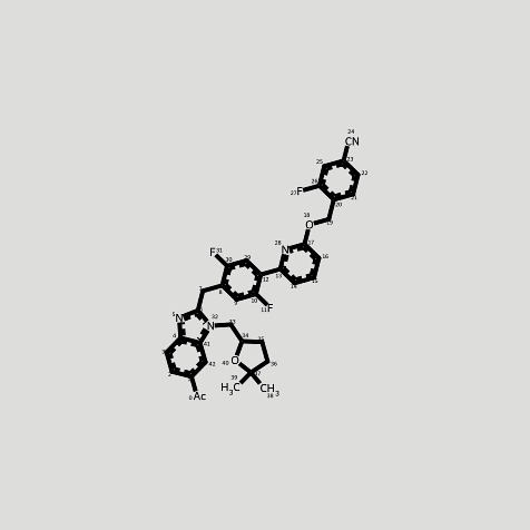 CC(=O)c1ccc2nc(Cc3cc(F)c(-c4cccc(OCc5ccc(C#N)cc5F)n4)cc3F)n(CC3CCC(C)(C)O3)c2c1